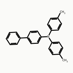 Cc1ccc(N(c2ccc(C)cc2)c2ccc(-c3cc[c]cc3)cc2)cc1